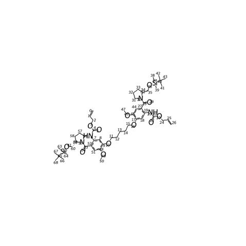 C=CCOC(=O)Nc1cc(OCCCCCOc2cc(NC(=O)OCC=C)c(C(=O)N3CCC[C@H]3CO[Si](C)(C)C(C)(C)C)cc2OC)c(OC)cc1C(=O)N1CCC[C@H]1CO[Si](C)(C)C(C)(C)C